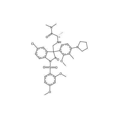 COc1ccc(S(=O)(=O)N2C(=O)C(CN[C@@H](C)C(=O)N(C)C)(c3ccc(N4CCCC4)c(C)c3OC)c3cc(Cl)ccc32)c(OC)c1